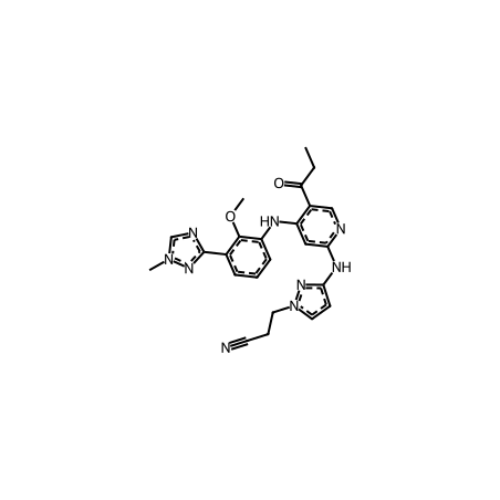 CCC(=O)c1cnc(Nc2ccn(CCC#N)n2)cc1Nc1cccc(-c2ncn(C)n2)c1OC